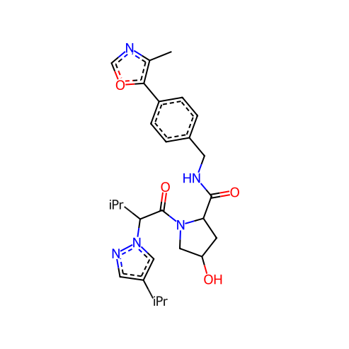 Cc1ncoc1-c1ccc(CNC(=O)C2CC(O)CN2C(=O)C(C(C)C)n2cc(C(C)C)cn2)cc1